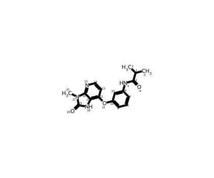 CC(C)C(=O)Nc1cccc(Oc2ccnc3c2[nH]c(=O)n3C)c1